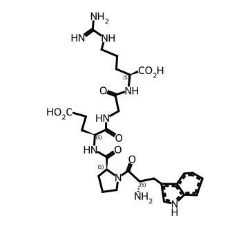 N=C(N)NCCC[C@H](NC(=O)CNC(=O)[C@H](CCC(=O)O)NC(=O)[C@@H]1CCCN1C(=O)[C@@H](N)Cc1c[nH]c2ccccc12)C(=O)O